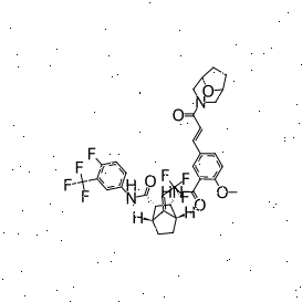 COc1ccc(/C=C/C(=O)N2CC3CCC(C2)O3)cc1C(=O)N[C@H]1[C@@H](C(=O)Nc2ccc(F)c(C(F)(F)F)c2)[C@H]2CC[C@@H]1/C2=C\C(F)(F)F